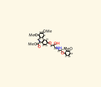 COC(=O)/C(=C/c1ccc(OC)cc1OC)c1ccc(OCC(O)CNCCOc2ccccc2OC)cc1